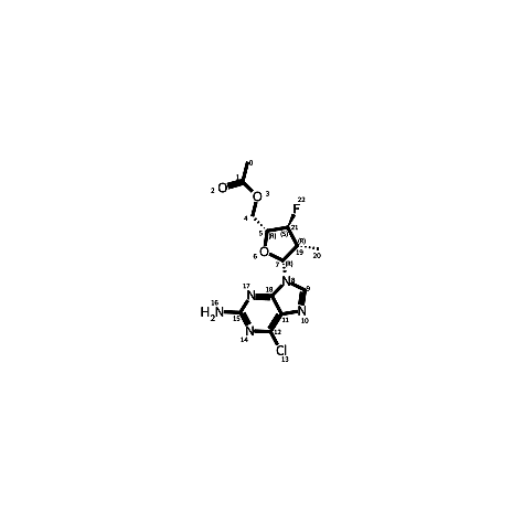 CC(=O)OC[C@H]1O[C@@H](n2cnc3c(Cl)nc(N)nc32)[C@@H](C)[C@@H]1F